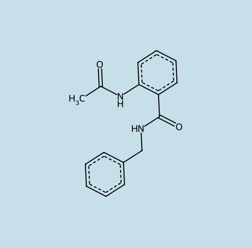 CC(=O)Nc1ccccc1C(=O)NCc1ccccc1